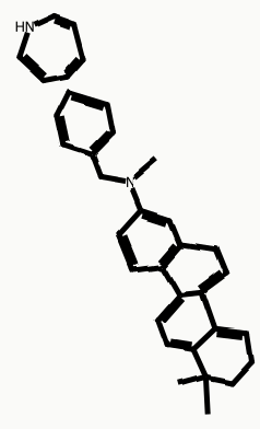 C1=CC=CNC=C1.CN(Cc1ccccc1)c1ccc2c(c1)CC=c1c-2ccc2c1=CCCC2(C)C